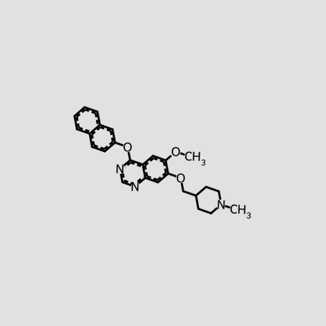 COc1cc2c(Oc3ccc4ccccc4c3)ncnc2cc1OCC1CCN(C)CC1